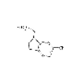 CCOC(=O)CC1CCc2ccc(C(F)(F)F)cc21